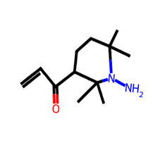 C=CC(=O)C1CCC(C)(C)N(N)C1(C)C